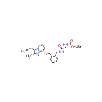 C#CCc1c(C)nc2c(OCc3ccccc3CNC(=O)CNC(=O)OC(C)(C)C)cccn12